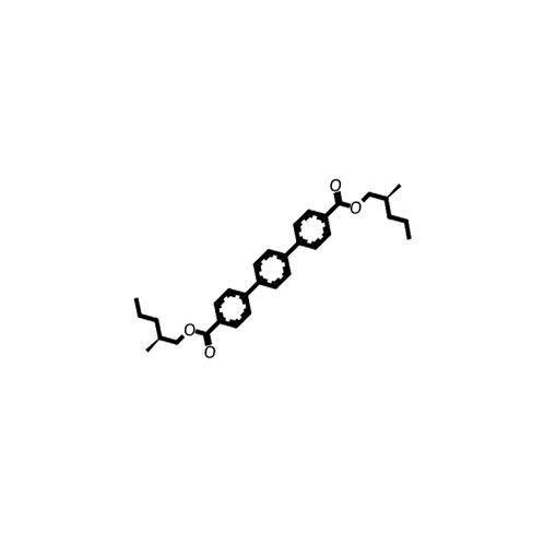 CCC[C@H](C)COC(=O)c1ccc(-c2ccc(-c3ccc(C(=O)OC[C@@H](C)CCC)cc3)cc2)cc1